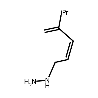 C=C(/C=C\CNN)C(C)C